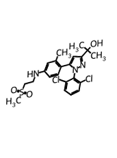 Cc1cc(NCCS(C)(=O)=O)ccc1-c1cc(C(C)(C)O)nn1-c1c(Cl)cccc1Cl